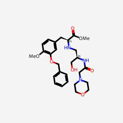 COC(=O)[C@H](Cc1ccc(OC)c(OCc2ccccc2)c1)NC[C@H](CO)NC(=O)CN1CCOCC1